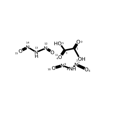 O=C(O)C(=O)O.O=NNN=O.O=NNN=O